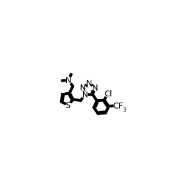 CN(C)Cc1ccsc1Cn1nnnc1-c1cccc(C(F)(F)F)c1Cl